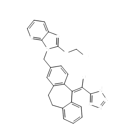 CCOc1nc2cccnc2n1Cc1ccc2c(c1)CCc1ccccc1C2=C(C)c1nnn[nH]1